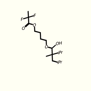 CC(C)CC(C)(C(C)C)C(O)OCCCCOC(=O)C(C)(F)F